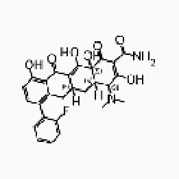 CN(C)[C@@H]1C(O)=C(C(N)=O)C(=O)[C@@]2(O)C(O)=C3C(=O)c4c(O)ccc(-c5ccccc5F)c4C[C@H]3C[C@@H]12